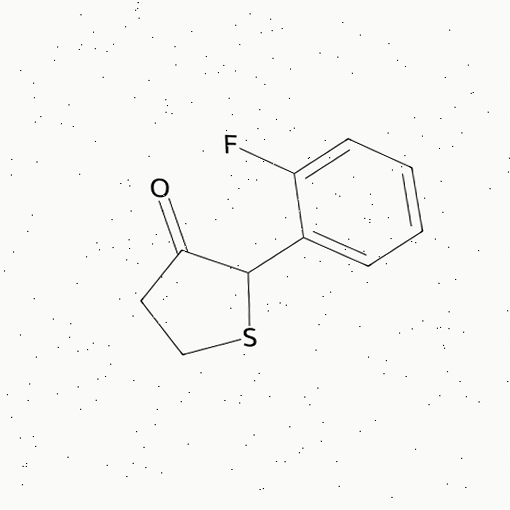 O=C1CCSC1c1ccccc1F